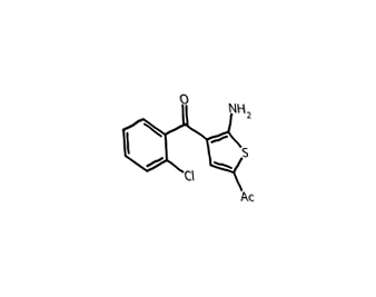 CC(=O)c1cc(C(=O)c2ccccc2Cl)c(N)s1